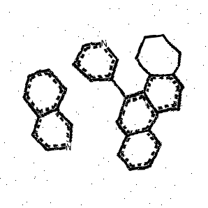 c1ccc2cnccc2c1.c1cncc(-c2cc3ccccc3c3ccc4c(c23)CCCC4)c1